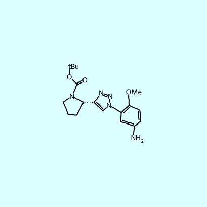 COc1ccc(N)cc1-n1cc([C@@H]2CCCN2C(=O)OC(C)(C)C)nn1